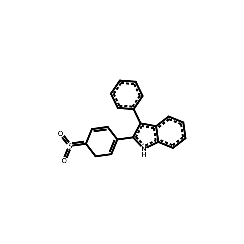 O=S(=O)=C1C=CC(c2[nH]c3ccccc3c2-c2ccccc2)=CC1